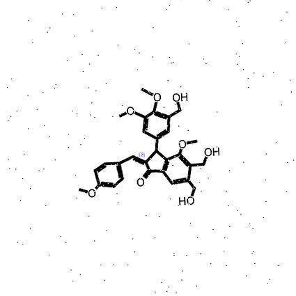 COc1ccc(/C=C2\C(=O)c3cc(CO)c(CO)c(OC)c3C2c2cc(CO)c(OC)c(OC)c2)cc1